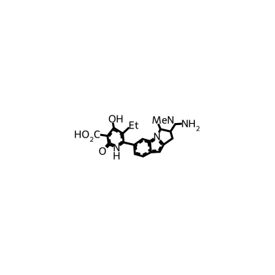 CCc1c(-c2ccc3cc4n(c3c2)C(NC)C(CN)C4)[nH]c(=O)c(C(=O)O)c1O